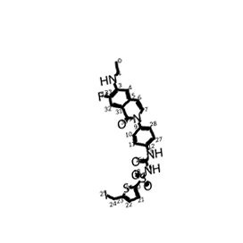 CCNc1cc2ccn(-c3ccc(NC(=O)NS(=O)(=O)c4ccc(CI)s4)cc3)c(=O)c2cc1F